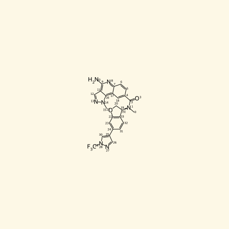 CN(C(=O)c1ccc2nc(N)c3cnn(C)c3c2c1)[C@@H]1COc2cc(-c3cnn(C(F)(F)F)c3)ccc21